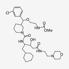 COC(=O)NCCOC(c1cccc(Cl)c1)C1CCCN(C(=O)NC(CC2CCCCC2)C(O)CC(=O)NCCN2CCOCC2)C1